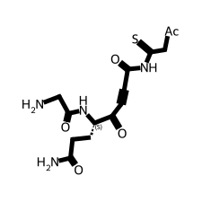 CC(=O)CC(=S)NC(=O)C#CC(=O)[C@H](CCC(N)=O)NC(=O)CN